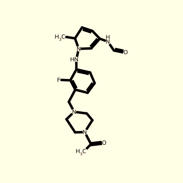 CC(=O)N1CCN(Cc2cccc(NN3C=C(NC=O)C=CC3C)c2F)CC1